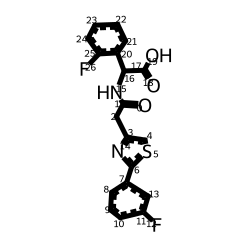 O=C(Cc1csc(-c2cccc(F)c2)n1)NC(C(=O)O)c1ccccc1F